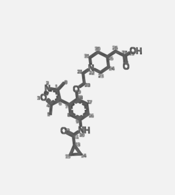 Cc1noc(C)c1-c1cc(NC(=O)C2CC2)ccc1OCCN1CCC(CC(=O)O)CC1